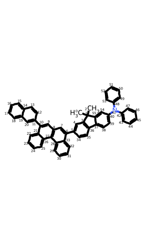 CC1(C)c2cc(-c3cc4cc(-c5ccc6ccccc6c5)c5ccccc5c4c4ccccc34)ccc2-c2ccc(N(c3ccccc3)c3ccccc3)cc21